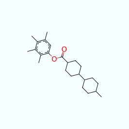 Cc1cc(OC(=O)C2CCC(C3CCC(C)CC3)CC2)c(C)c(C)c1C